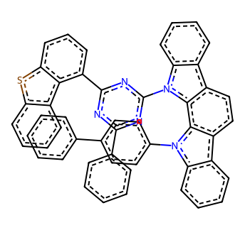 c1ccc(-c2ccc(-n3c4ccccc4c4ccc5c6ccccc6n(-c6nc(-c7ccccc7)nc(-c7cccc8sc9ccccc9c78)n6)c5c43)cc2)cc1